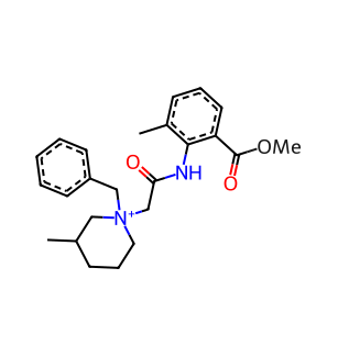 COC(=O)c1cccc(C)c1NC(=O)C[N+]1(Cc2ccccc2)CCCC(C)C1